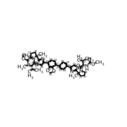 COC(=O)N[C@H](C(=O)N1CCC[C@@]1(C)c1nc(-c2ccc(-c3ccc(-c4c[nH]c([C@]5(C)CCCN5C(=O)[C@H](C(C)C)N(C)C(=O)OC)n4)c4c3OCO4)cc2)c[nH]1)C(C)C